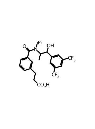 CC(C)N(C(=O)c1cccc(CCC(=O)O)c1)C(C)C(O)c1cc(C(F)(F)F)cc(C(F)(F)F)c1